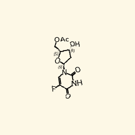 CC(=O)OC[C@@H]1O[C@H](n2cc(F)c(=O)[nH]c2=O)C[C@H]1O